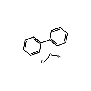 BrOBr.c1ccc(-c2ccccc2)cc1